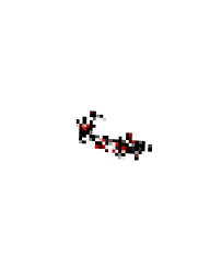 CC1(C)c2ccccc2-c2nc(-n3c4ccc5c6cccc(-c7cccc8c7sc7cc(-c9nc(-n%10c%11ccc%12c%13ccccc%13c%13ccccc%13c%12c%11c%11ccc%12ccccc%12c%11%10)nc%10ccc%11ccccc%11c9%10)ccc78)c6c6ccccc6c5c4c4ccc5ccccc5c43)nc(-c3ccc4sc5ccccc5c4c3)c21